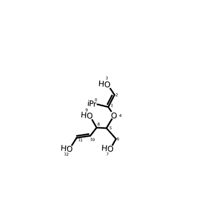 CC(C)/C(=C\O)OC(CO)C(O)C=CO